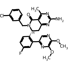 COc1ncc(-c2cc(F)ccc2[C@H]2Cc3nc(N)nc(C)c3C(=O)N2Cc2cccc(Cl)c2)nc1OC